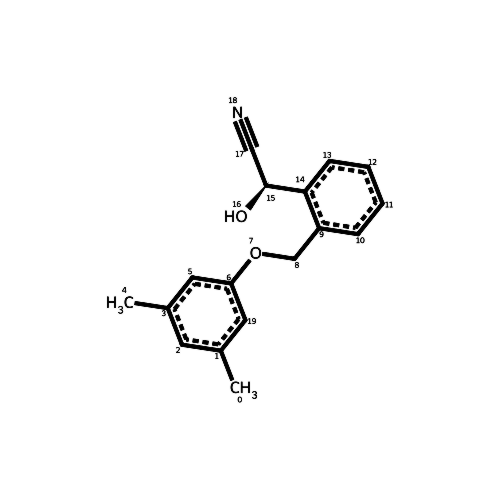 Cc1cc(C)cc(OCc2ccccc2[C@@H](O)C#N)c1